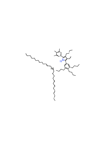 CCCCC1=C(c2cc(C)c(C)c(C)c2)[N+](=[N-])C(c2cc(CCCC)c(CCCC)c(CCCC)c2)=C1CC.CCCCCCCCCCCC[CH2][Ni][CH2]CCCCCCCCCCCC